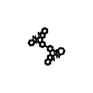 C1=CC2=CC(C=C1)N=C1c3nc4ccccc4cc3-c3cc(-c4ccc5c(c4)c4cc6ccccc6nc4c4nc6ccccc6n54)ccc3N21